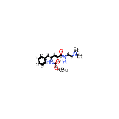 CCN(CC)CCNC(=O)C=C[C@H](Cc1ccccc1)NC(=O)OC(C)(C)C